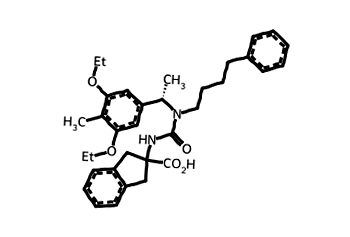 CCOc1cc([C@H](C)N(CCCCc2ccccc2)C(=O)NC2(C(=O)O)Cc3ccccc3C2)cc(OCC)c1C